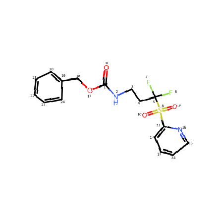 O=C(NCCC(F)(F)S(=O)(=O)c1ccccn1)OCc1ccccc1